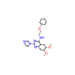 COc1cc2nc(-n3ccnc3)nc(NCCOc3ccccc3)c2cc1OC